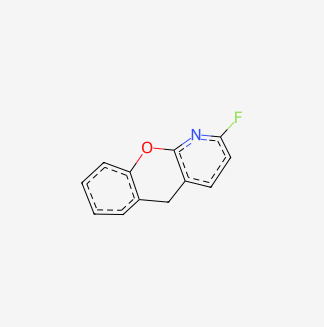 Fc1ccc2c(n1)Oc1ccccc1C2